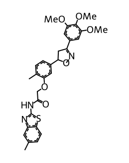 COc1cc(C2=NOC(c3ccc(C)c(OCC(=O)Nc4nc5cc(C)ccc5s4)c3)C2)cc(OC)c1OC